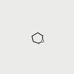 [C]1CCC[CH]O1